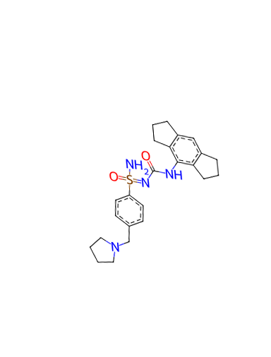 NS(=O)(=NC(=O)Nc1c2c(cc3c1CCC3)CCC2)c1ccc(CN2CCCC2)cc1